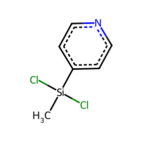 C[Si](Cl)(Cl)c1ccncc1